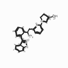 NC(Cc1cccc(N2CC[C@@H](O)C2)n1)c1ccccc1-c1noc2ccccc12